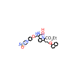 CCOC(=O)c1[nH]c2c(-c3c(COc4ccc(N5CCN([S+]([O-])N(C)C)CC5)cc4)nn(C)c3CO)cccc2c1CCCOc1cccc2ccccc12